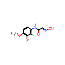 COc1ccc(NC(=O)/C=N/O)c(F)c1Br